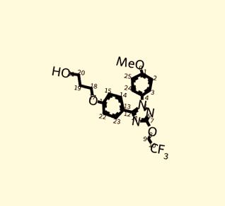 COc1ccc(-n2nc(OCC(F)(F)F)nc2-c2ccc(OCCCO)cc2)cc1